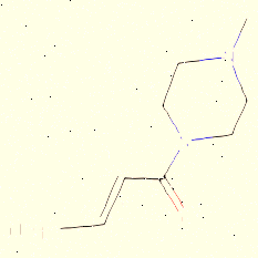 CCCCCCC/C=C/C(=O)N1CCN(C)CC1